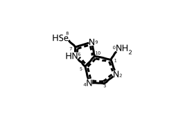 Nc1ncnc2[nH]c([SeH])nc12